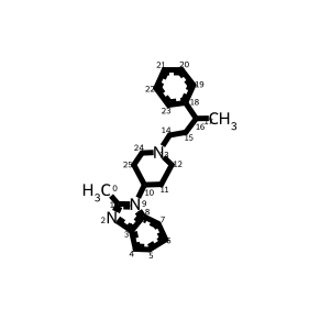 Cc1nc2ccccc2n1C1CCN(CCC(C)c2ccccc2)CC1